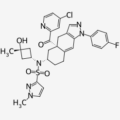 Cn1ccc(S(=O)(=O)N([C@H]2CCC3=Cc4c(cnn4-c4ccc(F)cc4)C[C@]3(C(=O)c3cc(Cl)ccn3)C2)[C@H]2C[C@@](C)(O)C2)n1